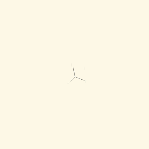 F[C](F)F.[H+]